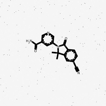 CC1(C)c2cc(C#N)ccc2C(=O)N1c1cncc(C(N)=O)c1